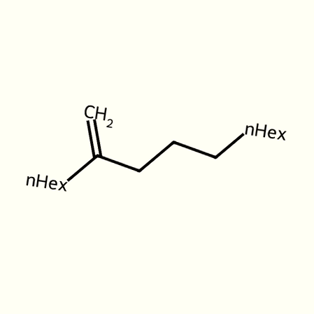 [CH2]CCCCCCCCC(=C)CCCCCC